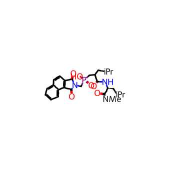 CNC(=O)[C@H](CC(C)C)NC(=O)C(CC(C)C)CP(=O)(O)CN1C(=O)c2ccc3ccccc3c2C1=O